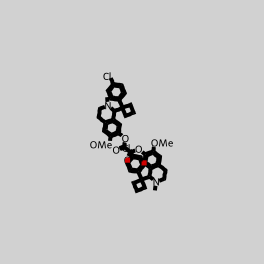 COc1cc2c(cc1OC(=O)C(=O)Oc1cc3c(cc1OC)CCN(C)C3C1(c3ccc(Cl)cc3)CCC1)C(C1(c3ccc(Cl)cc3)CCC1)N(C)CC2